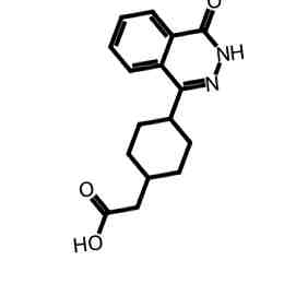 O=C(O)CC1CCC(c2n[nH]c(=O)c3ccccc23)CC1